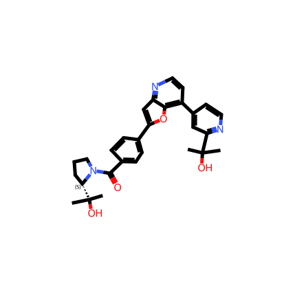 CC(C)(O)c1cc(-c2ccnc3cc(-c4ccc(C(=O)N5CCC[C@H]5C(C)(C)O)cc4)oc23)ccn1